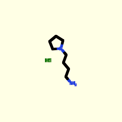 Cl.NCCCCN1CCCC1